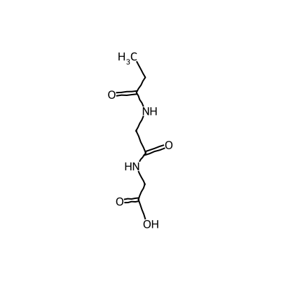 CCC(=O)NCC(=O)NCC(=O)O